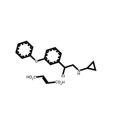 CCC(CNC1CC1)c1cccc(Oc2ccccc2)c1.O=C(O)C=CC(=O)O